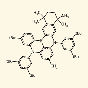 Cc1cc2c3c(c1)N(c1cc(C(C)(C)C)cc(C(C)(C)C)c1)c1cc4c(cc1B3c1ccc(C(C)(C)C)cc1N2c1cc(C(C)(C)C)cc(C(C)(C)C)c1)C(C)(C)CCC4(C)C